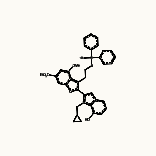 CCOC(=O)c1cc(OC)c2c(CCO[Si](c3ccccc3)(c3ccccc3)C(C)(C)C)c(-c3cc4cccc(O)c4n3CC3CC3)oc2c1